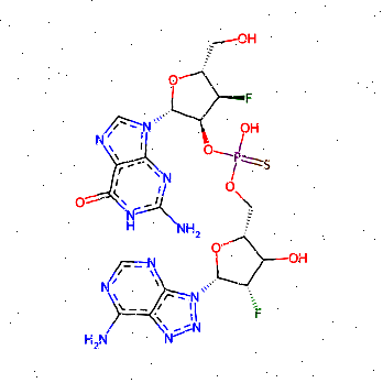 Nc1nc2c(ncn2[C@@H]2O[C@H](CO)[C@@H](F)[C@H]2OP(O)(=S)OC[C@H]2O[C@@H](n3nnc4c(N)ncnc43)[C@@H](F)C2O)c(=O)[nH]1